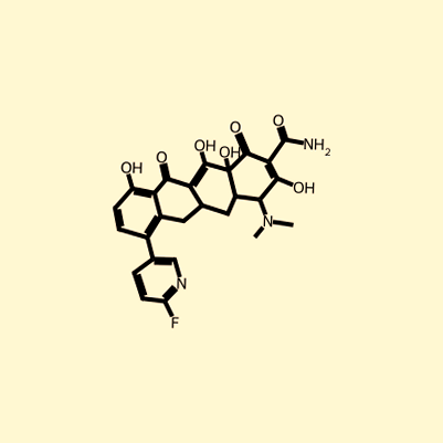 CN(C)C1C(O)=C(C(N)=O)C(=O)C2(O)C(O)=C3C(=O)c4c(O)ccc(-c5ccc(F)nc5)c4CC3CC12